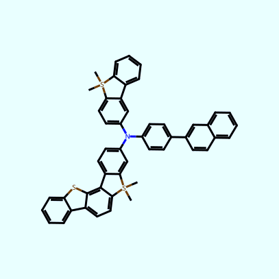 CS1(C)c2ccccc2-c2cc(N(c3ccc(-c4ccc5ccccc5c4)cc3)c3ccc4c(c3)S(C)(C)c3ccc5c(sc6ccccc65)c3-4)ccc21